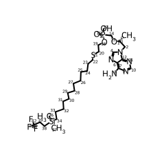 C[C@H](Cn1cnc2c(N)ncnc21)OCP(=O)(O)OCCSCCCCCCCCCCCCC[Si](C)(C)CCC(F)(F)F